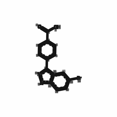 O=C(O)c1ccc(-c2nnc3ccc(Br)cn23)cc1